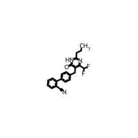 CCCc1nc(C(F)F)c(Cc2ccc(-c3ccccc3C#N)cc2)c(=O)[nH]1